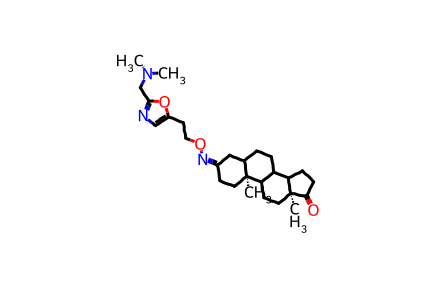 CN(C)Cc1ncc(CCON=C2CC[C@@]3(C)C(CCC4C3CC[C@]3(C)C(=O)CCC43)C2)o1